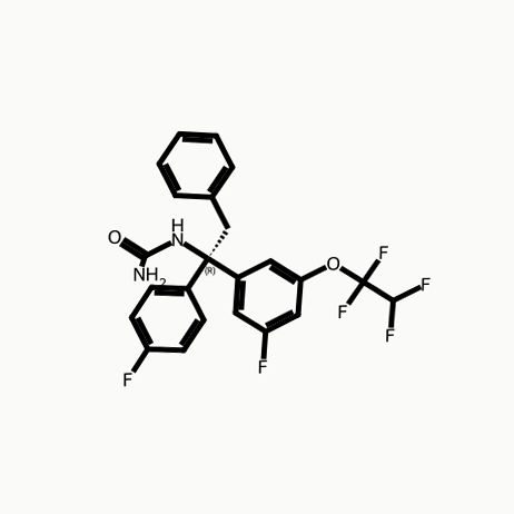 NC(=O)N[C@](Cc1ccccc1)(c1ccc(F)cc1)c1cc(F)cc(OC(F)(F)C(F)F)c1